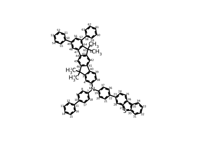 CC1(C)c2cc(N(c3ccc(-c4ccccc4)cc3)c3ccc(-c4ccc5c(c4)sc4ccccc45)cc3)ccc2-c2cc3c(cc21)-c1cc(-c2ccccc2)cc(-c2ccccc2)c1C3(C)C